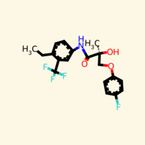 CCc1ccc(NC(=O)[C@@](C)(O)COc2ccc(F)cc2)cc1C(F)(F)F